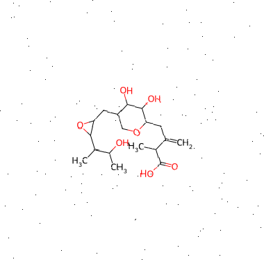 C=C(CC1OCC(CC2OC2C(C)C(C)O)C(O)C1O)C(C)C(=O)O